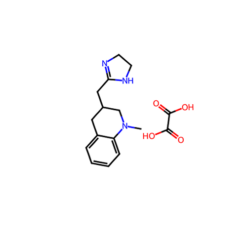 CN1CC(CC2=NCCN2)Cc2ccccc21.O=C(O)C(=O)O